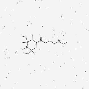 CCOCCCNC1CC(C)(CC)N(C)C(C)(CC)C1C